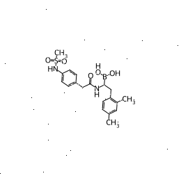 Cc1ccc(CC(NC(=O)Cc2ccc(NS(C)(=O)=O)cc2)B(O)O)c(C)c1